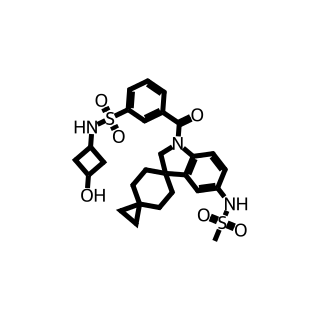 CS(=O)(=O)Nc1ccc2c(c1)C1(CCC3(CC3)CC1)CN2C(=O)c1cccc(S(=O)(=O)NC2CC(O)C2)c1